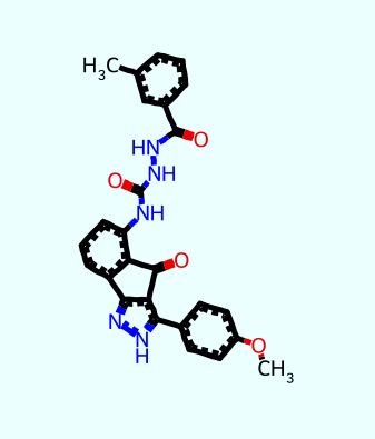 COc1ccc(-c2[nH]nc3c2C(=O)c2c(NC(=O)NNC(=O)c4cccc(C)c4)cccc2-3)cc1